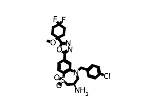 COC1(c2nnc(-c3ccc4c(c3)N(Cc3ccc(Cl)cc3)C[C@@H](N)CS4(=O)=O)o2)CCC(F)(F)CC1